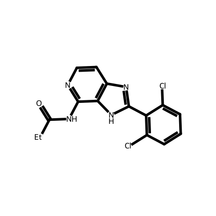 CCC(=O)Nc1nccc2nc(-c3c(Cl)cccc3Cl)[nH]c12